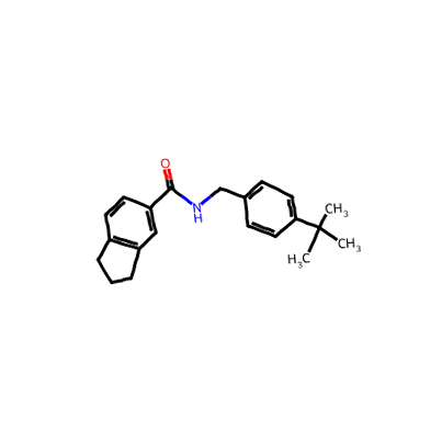 CC(C)(C)c1ccc(CNC(=O)c2ccc3c(c2)CCC3)cc1